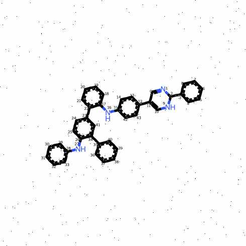 C1=NC(c2ccccc2)NC=C1c1ccc(Nc2ccccc2-c2ccc(Nc3ccccc3)c(-c3ccccc3)c2)cc1